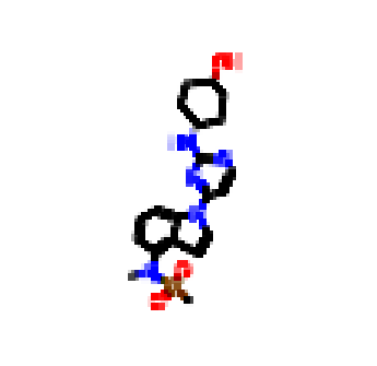 CN(c1cccc2c1ccn2-c1ccnc(N[C@H]2CC[C@H](O)CC2)n1)S(C)(=O)=O